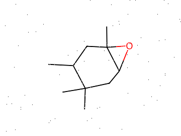 CC1CC2(C)OC2CC1(C)C